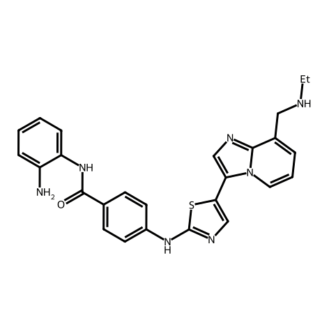 CCNCc1cccn2c(-c3cnc(Nc4ccc(C(=O)Nc5ccccc5N)cc4)s3)cnc12